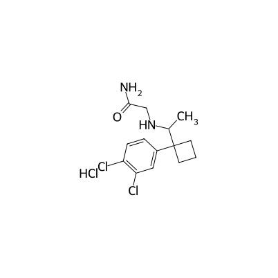 CC(NCC(N)=O)C1(c2ccc(Cl)c(Cl)c2)CCC1.Cl